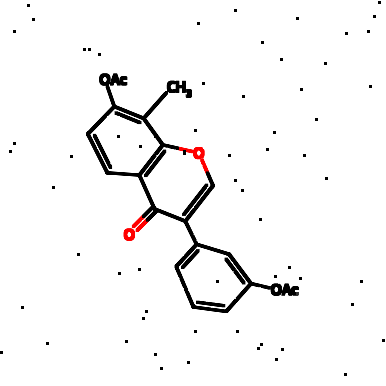 CC(=O)Oc1cccc(-c2coc3c(C)c(OC(C)=O)ccc3c2=O)c1